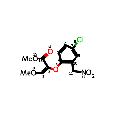 COC=C(Oc1ccc(Cl)cc1C[N+](=O)[O-])C(=O)OC